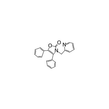 O=c1oc(-c2ccccc2)c(-c2ccccc2)n1Cc1ccccn1